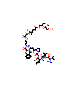 CCC(COC(=O)CCCC(=O)N[C@@H](C)C(=O)OCCCNC(=O)[C@H](Cc1ccccc1)NC(=O)[C@H](C)[C@@H](OC)[C@@H]1CCCN1C(=O)C[C@@H](OC)[C@H]([C@@H](C)CC)N(C)C(=O)[C@@H](NC(=O)[C@H](C(C)C)N(C)C)C(C)C)OC(CO)OC